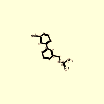 CC(C)(C)c1cccc(-c2cccc(CNC(=N)N)c2)c1